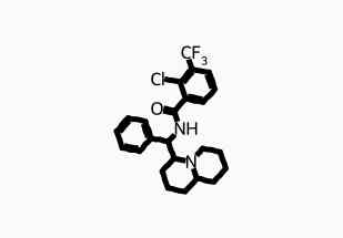 O=C(NC(c1ccccc1)C1CCCC2CCCCN21)c1cccc(C(F)(F)F)c1Cl